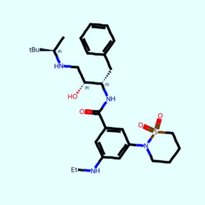 CCNc1cc(C(=O)N[C@@H](Cc2ccccc2)[C@H](O)CN[C@H](C)C(C)(C)C)cc(N2CCCCS2(=O)=O)c1